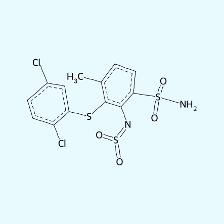 Cc1ccc(S(N)(=O)=O)c(N=S(=O)=O)c1Sc1cc(Cl)ccc1Cl